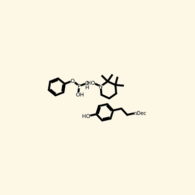 CC1(C)CCCN(O)C1(C)C.CCCCCCCCCCCCc1ccc(O)cc1.OP(O)Oc1ccccc1